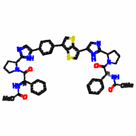 COC(=O)N[C@@H](C(=O)N1CCCC1c1ncc(-c2ccc(-c3csc4c(-c5cnc(C6CCCN6C(=O)[C@H](NC(=O)OC)c6ccccc6)[nH]5)csc34)cc2)[nH]1)c1ccccc1